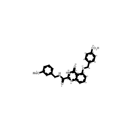 COc1cccc(CNC(=O)c2nc3cccc(OCc4ccc(C(=O)O)cc4)c3c(=O)[nH]2)c1